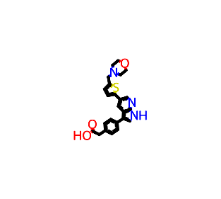 O=C(O)Cc1ccc(-c2c[nH]c3ncc(-c4ccc(CN5CCOCC5)s4)cc23)cc1